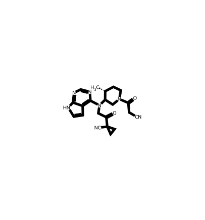 C[C@@H]1CCN(C(=O)CC#N)CC1N(CC(=O)C1(C#N)CC1)c1ncnc2[nH]ccc12